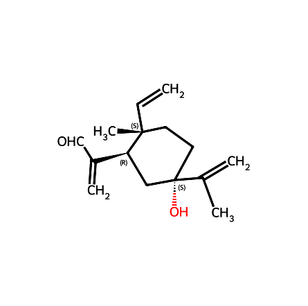 C=C[C@]1(C)CC[C@@](O)(C(=C)C)C[C@H]1C(=C)C=O